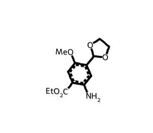 CCOC(=O)c1cc(OC)c(C2OCCO2)cc1N